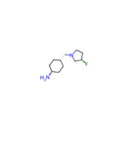 N[C@H]1CC[C@H](CN2CC[C@@H](F)C2)CC1